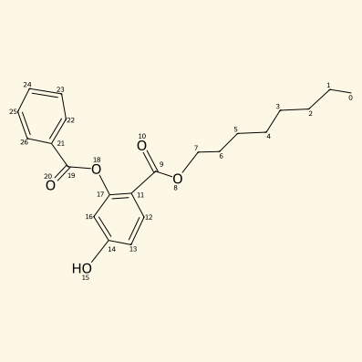 CCCCCCCCOC(=O)c1ccc(O)cc1OC(=O)c1ccccc1